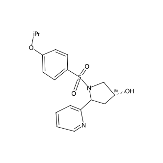 CC(C)Oc1ccc(S(=O)(=O)N2C[C@H](O)CC2c2ccccn2)cc1